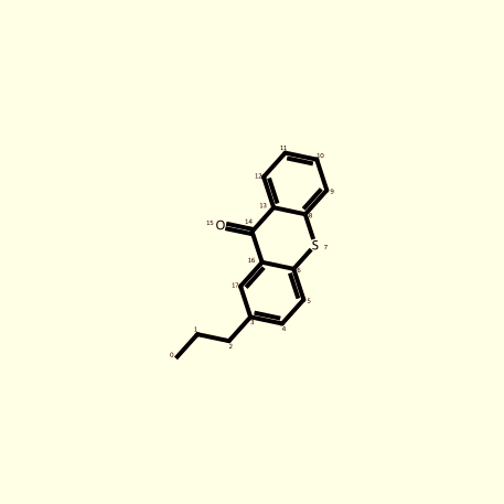 CCCc1ccc2sc3ccccc3c(=O)c2c1